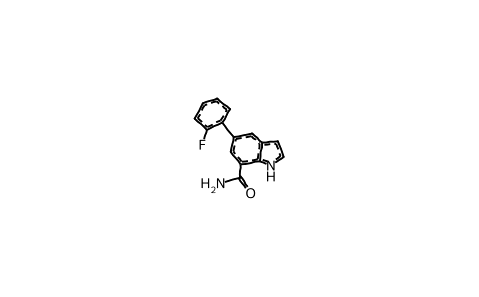 NC(=O)c1cc(-c2ccccc2F)cc2cc[nH]c12